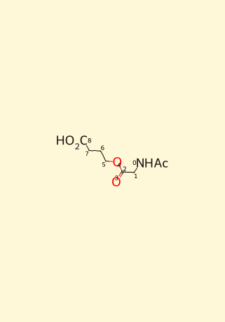 CC(=O)NCC(=O)OCCCC(=O)O